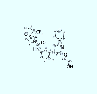 Cc1ccc(NC(=O)N2CCC3(C2)OCCC3C(F)(F)F)cc1-c1cc(OCCO)nc(N2CCOCC2)c1